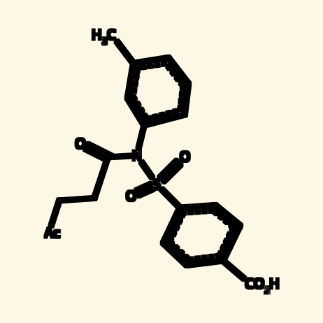 CC(=O)CCC(=O)N(c1cccc(C)c1)S(=O)(=O)c1ccc(C(=O)O)cc1